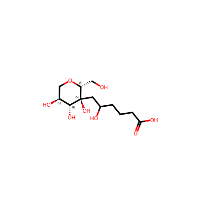 O=C(O)CCCC(O)C[C@]1(O)[C@H](O)[C@@H](O)CO[C@@H]1CO